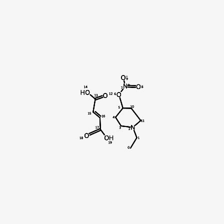 CCN1CCC(O[N+](=O)[O-])CC1.O=C(O)C=CC(=O)O